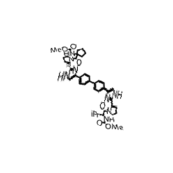 COC(=O)NC(C(=O)N1CCCC1c1nc(-c2ccc(-c3ccc(-c4c[nH]c([C@@H]5CCCN5C(=O)C5(NC(=O)OC)CCCC5)n4)cc3)cc2)c[nH]1)C(C)C